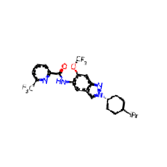 CC(C)[C@H]1CC[C@H](n2cc3cc(NC(=O)c4cccc(C(F)(F)F)n4)c(OC(F)(F)F)cc3n2)CC1